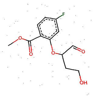 COC(=O)c1ccc(F)cc1OC(C=O)CCO